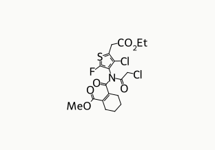 CCOC(=O)Cc1sc(F)c(N(C(=O)CCl)C(=O)C2=C(C(=O)OC)CCCC2)c1Cl